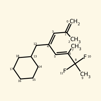 C=C(C)/C=C(\C=C(/C)C(C)(F)F)CC1CCCCC1